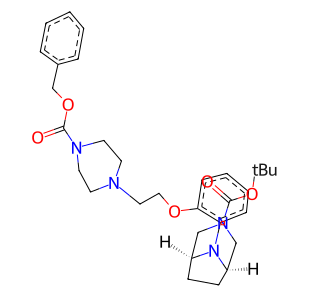 CC(C)(C)OC(=O)N1C[C@H]2CC[C@@H](C1)N2c1ccccc1OCCN1CCN(C(=O)OCc2ccccc2)CC1